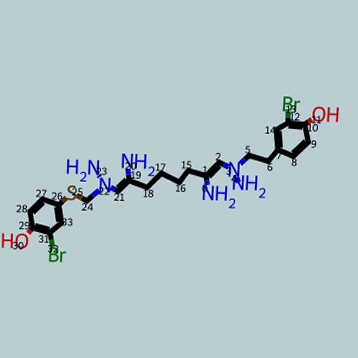 N/C(=C\N(N)CCc1ccc(O)c(Br)c1)CCCC/C(N)=C/N(N)CSc1ccc(O)c(Br)c1